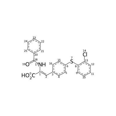 O=C(O)C(=Cc1ccc(Sc2ccccc2Cl)cc1)NC(=O)c1ccccc1